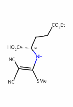 CCOC(=O)CC[C@H](NC(SC)=C(C#N)C#N)C(=O)O